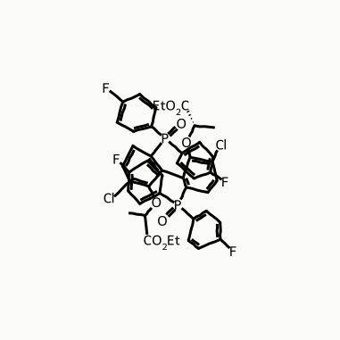 CCOC(=O)C(C)Oc1c(Cl)ccc(P(=O)(c2ccc(F)cc2)c2ccc(F)cc2)c1-c1c(P(=O)(c2ccc(F)cc2)c2ccc(F)cc2)ccc(Cl)c1O[C@@H](C)C(=O)OCC